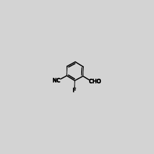 N#Cc1cccc(C=O)c1F